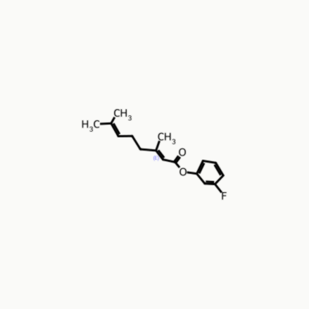 CC(C)=CCC/C(C)=C/C(=O)Oc1cccc(F)c1